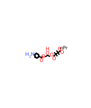 CCCOC(=O)C(C)(C)C(C)(C)C(=O)OCC(O)COC(=O)c1ccc(N)cc1